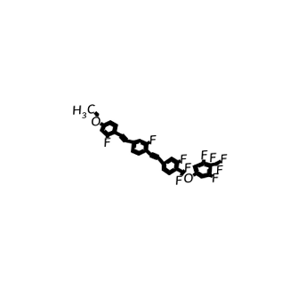 CCOc1ccc(C#Cc2ccc(C#Cc3ccc(C(F)(F)Oc4cc(F)c(C(F)(F)F)c(F)c4)c(F)c3)c(F)c2)c(F)c1